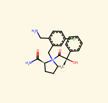 C[C@@](O)(C(=O)[N+]1(Cc2cc(Cl)ccc2CN)CCC[C@H]1C(N)=O)c1ccccc1